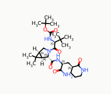 CC(C)(C)OC(=O)N[C@H](C(=O)N1C[C@H]2[C@@H]([C@H]1C(=O)N[C@@H](C[C@@H]1CCCNC1=O)C(N)=O)C2(C)C)C(C)(C)C